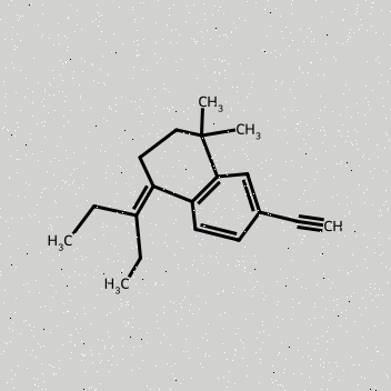 C#Cc1ccc2c(c1)C(C)(C)CCC2=C(CC)CC